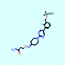 CC(C)(C)[Si](C)(C)OCc1cccc(-c2cnc(N3CCC(=NOCCC(N)=O)CC3)nc2)c1F